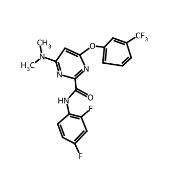 CN(C)c1cc(Oc2cccc(C(F)(F)F)c2)nc(C(=O)Nc2ccc(F)cc2F)n1